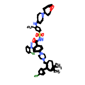 CC1(C)CCC(CN2CCN(c3ccc(C(=O)NS(=O)(=O)c4ccc(NC5CCN(C6CCOCC6)CC5)c([N+](=O)[O-])c4)c(Nc4ccccc4Cl)c3)CC2)=C(c2ccc(Cl)cc2)C1